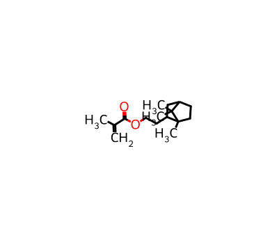 C=C(C)C(=O)OCCC1CC2CCC1(C)C2(C)C